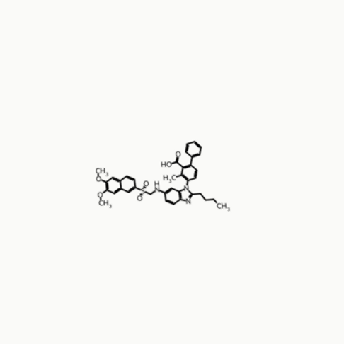 CCCCc1nc2ccc(NCS(=O)(=O)c3ccc4cc(OC)c(OC)cc4c3)cc2n1-c1ccc(-c2ccccc2)c(C(=O)O)c1C